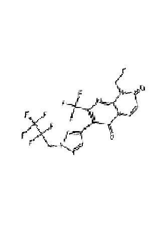 O=c1ccn2c(=O)c(-c3cnn(CC(F)(F)C(F)(F)F)c3)c(C(F)(F)F)nc2n1CF